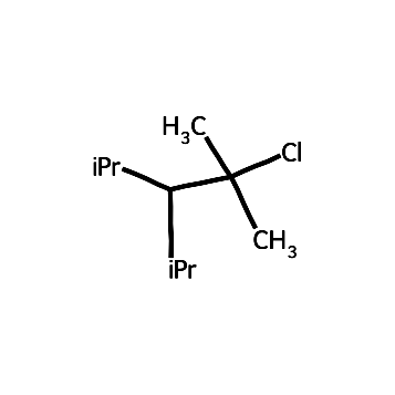 CC(C)C(C(C)C)C(C)(C)Cl